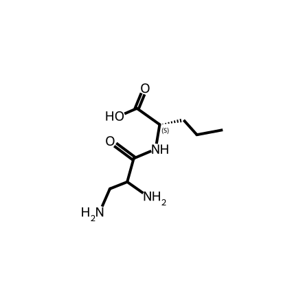 CCC[C@H](NC(=O)C(N)CN)C(=O)O